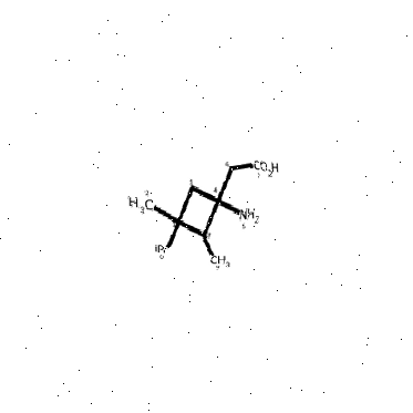 CC(C)C1(C)CC(N)(CC(=O)O)C1C